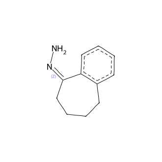 N/N=C1/CCCCc2ccccc21